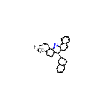 C/C=C\c1c(C)ccc2c(-c3ccc4ccccc4c3)c3ccc4ccccc4c3nc12